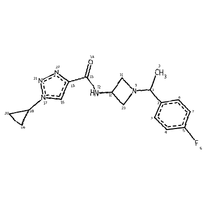 CC(c1ccc(F)cc1)N1CC(NC(=O)c2cn(C3CC3)nn2)C1